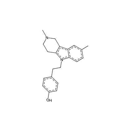 Cc1ccc2c(c1)c1c(n2CCc2ccc(O)cc2)CCN(C)C1